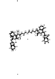 C[n+]1c(/C=C2\C=C(Cl)C(NCCCCCCCCCCN3C(Cl)=C/C(=C\c4sc5ccccc5[n+]4C)c4ccccc43)c3ccccc32)sc2ccccc21